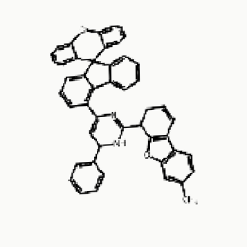 Cc1ccc2c3c(oc2c1)C(C1=NC(c2cccc4c2-c2ccccc2C42c4ccccc4Oc4ccccc42)=CC(c2ccccc2)N1)CC=C3